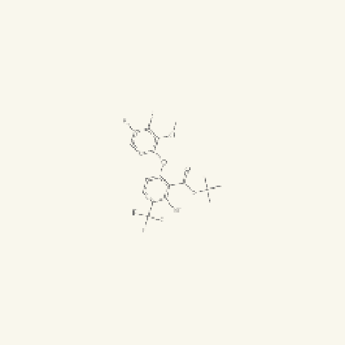 COc1c(Oc2ccc(C(F)(F)F)c(Br)c2C(=O)OC(C)(C)C)ccc(F)c1F